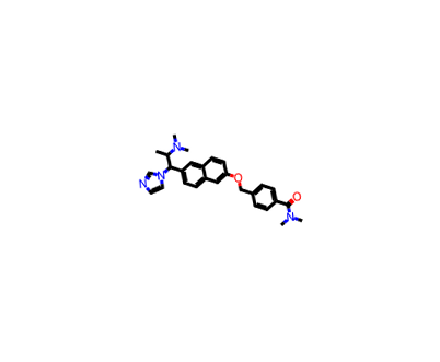 CC(C(c1ccc2cc(OCc3ccc(C(=O)N(C)C)cc3)ccc2c1)n1ccnc1)N(C)C